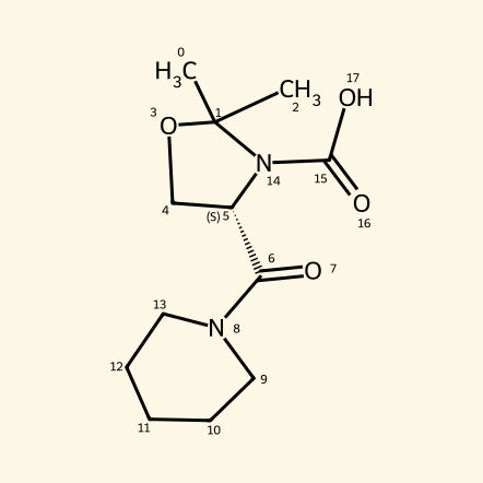 CC1(C)OC[C@@H](C(=O)N2CCCCC2)N1C(=O)O